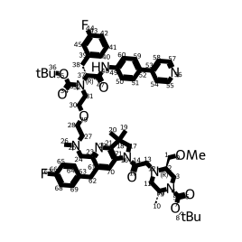 COC[C@H]1CN(C(=O)OC(C)(C)C)[C@H](C)CN1CC(=O)N1CC(C)(C)c2nc(CN(C)CCOCCN(C(=O)OC(C)(C)C)[C@H](Cc3cccc(F)c3)C(=O)Nc3ccc(-c4ccncc4)cc3)c(Cc3ccc(F)cc3)cc21